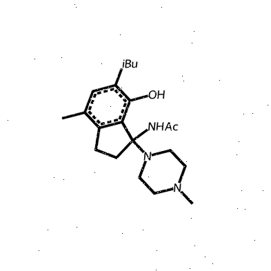 CCC(C)c1cc(C)c2c(c1O)C(NC(C)=O)(N1CCN(C)CC1)CC2